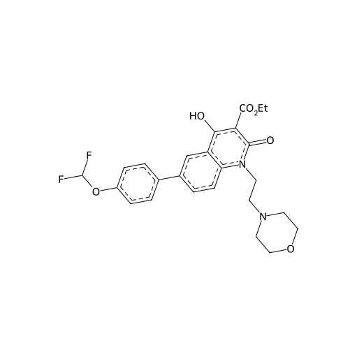 CCOC(=O)c1c(O)c2cc(-c3ccc(OC(F)F)cc3)ccc2n(CCN2CCOCC2)c1=O